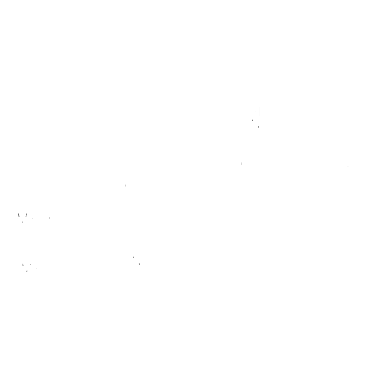 COc1cc2nccc(Oc3ccc4c(C(=O)Nc5ccc(F)cc5)cccc4c3F)c2cc1OC